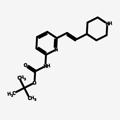 CC(C)(C)OC(=O)Nc1cccc(C=CC2CCNCC2)n1